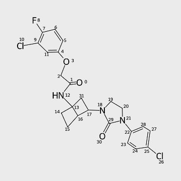 O=C(COc1ccc(F)c(Cl)c1)NC12CCC1C(N1CCN(c3ccc(Cl)cc3)C1=O)C2